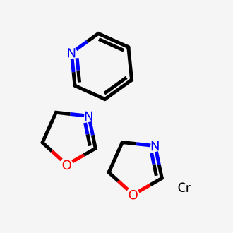 C1=NCCO1.C1=NCCO1.[Cr].c1ccncc1